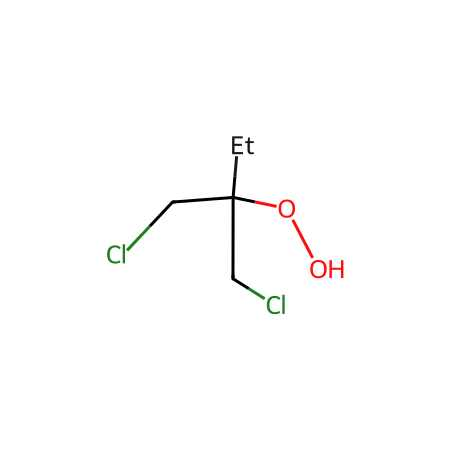 CCC(CCl)(CCl)OO